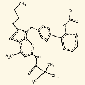 CCCCc1nc2c(C)cc(NC(=O)C(C)(C)C)cc2n1Cc1ccc(-c2ccccc2OC(=O)O)cc1